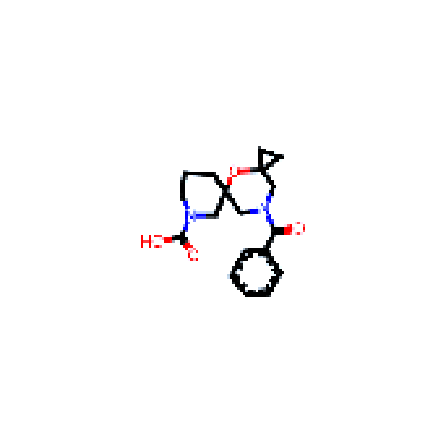 O=C(O)N1CCCC2(C1)CN(C(=O)c1ccccc1)CC1(CC1)O2